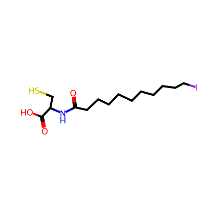 O=C(CCCCCCCCCCI)NC(CS)C(=O)O